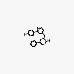 Fc1ccc(-c2cc(CC3CC(c4ccccc4)=CCN3)ccn2)cc1